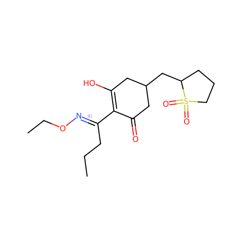 CCC/C(=N\OCC)C1=C(O)CC(CC2CCCS2(=O)=O)CC1=O